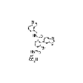 O=C(O)C=CNC(=O)c1ccc(C(=O)NCc2cccc3[nH]ccc23)c(-c2ccc3ncsc3c2)c1Br